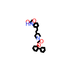 O=C1COc2ccc(CCC3CCN(C(=O)COc4ccccc4-c4ccccc4)CC3)cc2N1